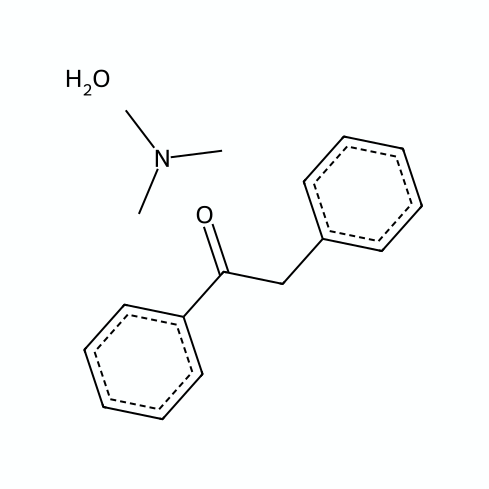 CN(C)C.O.O=C(Cc1ccccc1)c1ccccc1